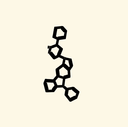 C1=NNC(c2ccccc2)C=C1n1ccc2cc3c(cc21)c1ccccc1n3-c1ccccc1